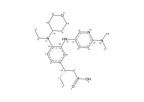 CC[C@@H](CC(=O)O)c1ccc(N(CC)C2CCOCC2)c(Nc2ccc(N(C)C)nc2)c1